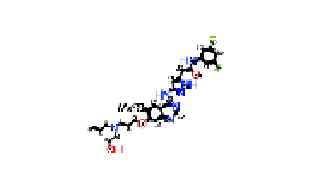 C=CCN(CCO)CCCOc1cc2ncnc(Nc3cc(CC(=O)Nc4cc(F)cc(F)c4)[nH]n3)c2cc1OC